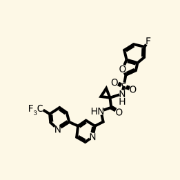 O=C(NCc1cc(-c2ccc(C(F)(F)F)cn2)ccn1)C1(NS(=O)(=O)c2cc3cc(F)ccc3o2)CC1